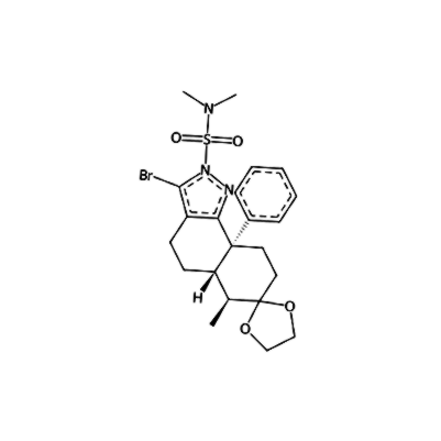 C[C@H]1[C@@H]2CCc3c(nn(S(=O)(=O)N(C)C)c3Br)[C@@]2(c2ccccc2)CCC12OCCO2